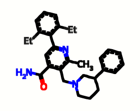 CCc1cccc(CC)c1-c1cc(C(N)=O)c(CN2CCCC(c3ccccc3)C2)c(C)n1